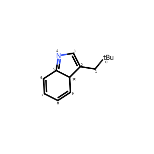 CC(C)(C)CC1=CN=C2C=CC=CC12